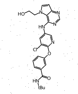 CC(C)(C)NC(=O)c1cccc(Oc2ncc(Nc3ncnc4ccn(CCO)c34)cc2Cl)c1